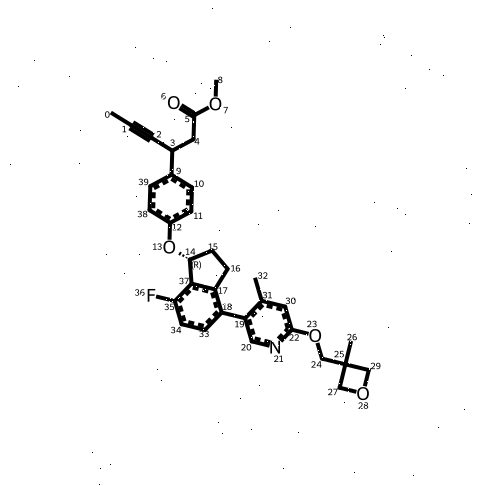 CC#CC(CC(=O)OC)c1ccc(O[C@@H]2CCc3c(-c4cnc(OCC5(C)COC5)cc4C)ccc(F)c32)cc1